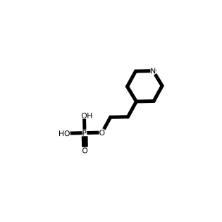 O=P(O)(O)OCCC1CC[N]CC1